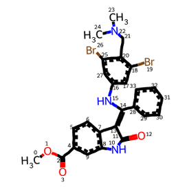 COC(=O)c1ccc2c(c1)NC(=O)C2=C(Nc1cc(Br)c(CN(C)C)c(Br)c1)c1ccccc1